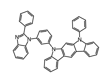 c1ccc(-c2nc3ccccc3n2-c2cccc(-n3c4ccccc4c4cc5c6ccccc6n(-c6ccccc6)c5cc43)c2)cc1